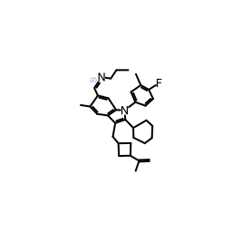 C=C(C)C1CC(Cc2c(C3CCCCC3)n(-c3ccc(F)c(C)c3)c3cc(/C=N\CCC)c(C)cc23)C1